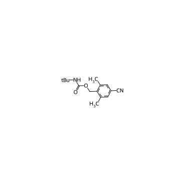 Cc1cc(C#N)cc(C)c1COC(=O)NC(C)(C)C